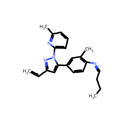 C=Cc1cc(-c2ccc(/N=C\CCC)c(C)c2)n(-c2cccc(C)n2)n1